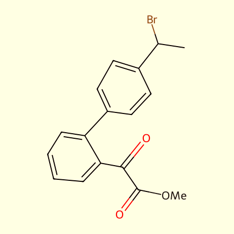 COC(=O)C(=O)c1ccccc1-c1ccc(C(C)Br)cc1